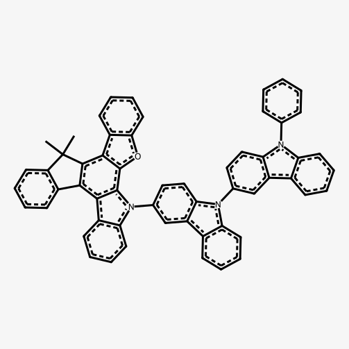 CC1(C)c2ccccc2-c2c1c1c3ccccc3oc1c1c2c2ccccc2n1-c1ccc2c(c1)c1ccccc1n2-c1ccc2c(c1)c1ccccc1n2-c1ccccc1